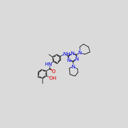 Cc1cc(Nc2nc(N3CCCCC3)nc(N3CCCCC3)n2)ccc1NC(=O)c1cccc(C)c1O